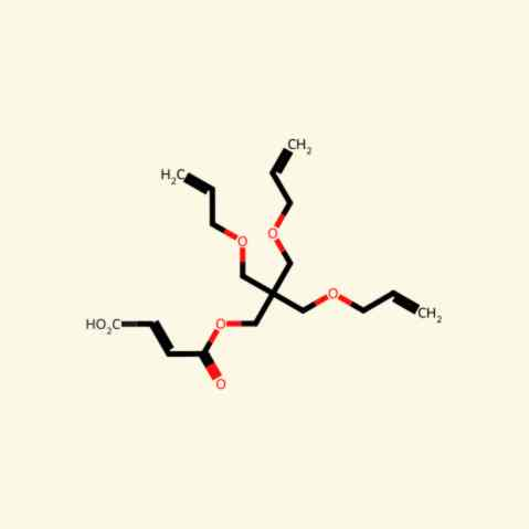 C=CCOCC(COCC=C)(COCC=C)COC(=O)C=CC(=O)O